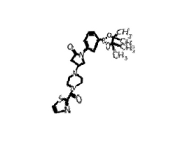 CC1(C)OB(c2cccc(N3CC(N4CCN(C(=O)c5nccs5)CC4)CC3=O)c2)OC1(C)C